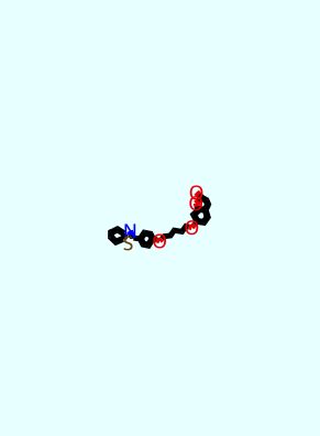 O=c1ccc2ccc(OCCCCCOc3ccc(-c4nc5ccccc5s4)cc3)cc2o1